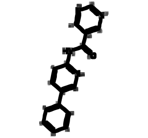 O=C(Nc1ccc(-c2ccccc2)cn1)c1cncnc1